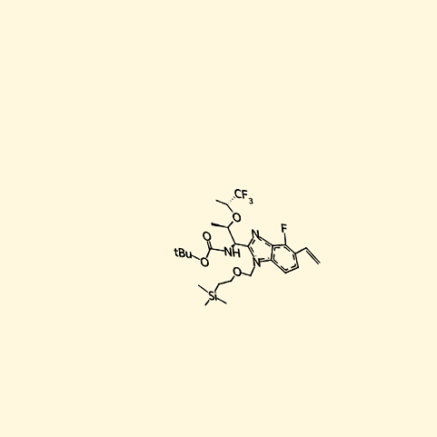 C=Cc1ccc2c(nc([C@@H](NC(=O)OC(C)(C)C)[C@@H](C)O[C@H](C)C(F)(F)F)n2COCC[Si](C)(C)C)c1F